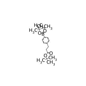 CC(C)(C)OC(=O)CCc1ccc(B2OC(C)(C)C(C)(C)O2)cc1